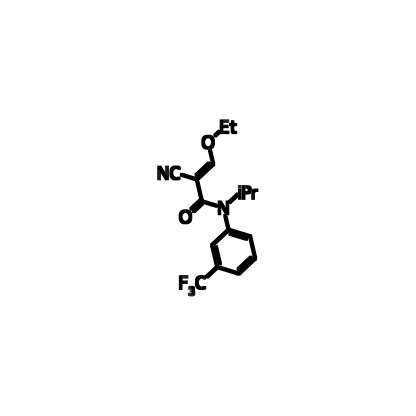 CCOC=C(C#N)C(=O)N(c1cccc(C(F)(F)F)c1)C(C)C